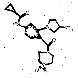 O=C(Nc1ccc(C(=O)N2CCS(=O)(=O)CC2)c(N2CCC(C(F)(F)F)C2)c1)C1CC1